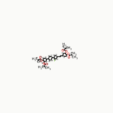 C=C(C)C(=O)Oc1ccc(C#Cc2ccc(-c3ccc(-c4ccc(OC(=O)C(=C)C)c(OC(=O)C(=C)C)c4)cc3)c(F)c2)cc1OC(=O)C(=C)C